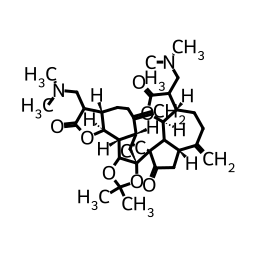 C=C1CC[C@H]2C(CN(C)C)C(=O)O[C@@H]2C2[C@H]1CC(=O)[C@]21CCC[C@@]23OC(C)(C)O[C@]21C[C@H]1C(=C)CC[C@H]2C(CN(C)C)C(=O)O[C@@H]2[C@H]13